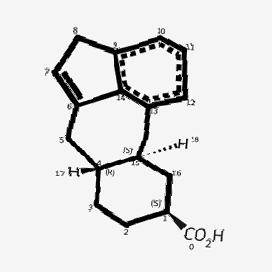 O=C(O)[C@H]1CC[C@@H]2CC3=CCc4cccc(c43)[C@H]2C1